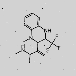 C=C(C(C)NC)C1C(C(F)(F)F)Nc2ccccc2N1C